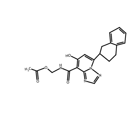 CC(=O)OCNC(=O)c1c(O)cc(C2CCc3ccccc3C2)n2ncnc12